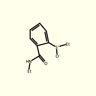 CCNC(=O)c1ccccc1[S+]([O-])CC